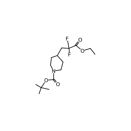 CCOC(=O)C(F)(F)CC1CCN(C(=O)OC(C)(C)C)CC1